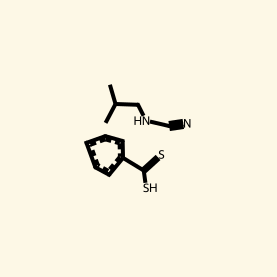 CC(C)CNC#N.S=C(S)c1ccccc1